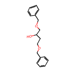 OC(CCOCc1ccccc1)COCc1ccccc1